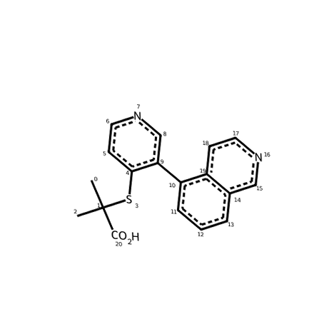 CC(C)(Sc1ccncc1-c1cccc2cnccc12)C(=O)O